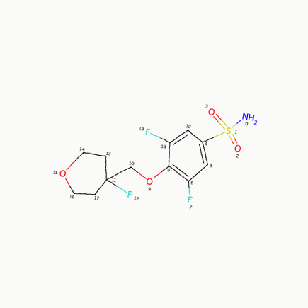 NS(=O)(=O)c1cc(F)c(OCC2(F)CCOCC2)c(F)c1